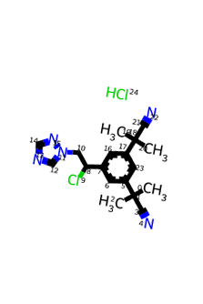 CC(C)(C#N)c1cc(C(Cl)Cn2cncn2)cc(C(C)(C)C#N)c1.Cl